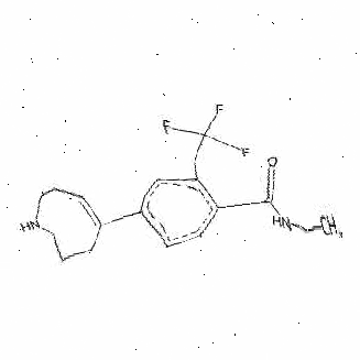 CNC(=O)c1ccc(C2=CCNCC2)cc1C(F)(F)F